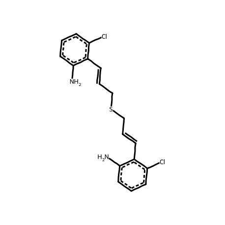 Nc1cccc(Cl)c1C=CCSCC=Cc1c(N)cccc1Cl